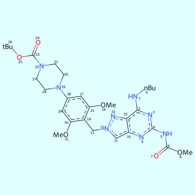 CCCCNc1nc(NC(=O)OC)nc2cn(Cc3c(OC)cc(N4CCN(C(=O)OC(C)(C)C)CC4)cc3OC)nc12